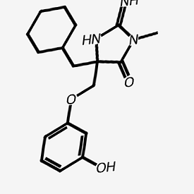 CN1C(=N)NC(COc2cccc(O)c2)(CC2CCCCC2)C1=O